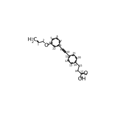 C=CCOc1cccc(C#Cc2ccc(CCC(=O)O)cc2)c1